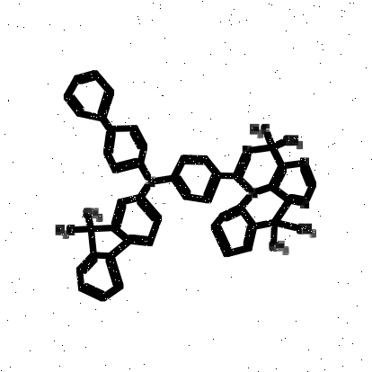 CC1(C)N=C(c2ccc(N(c3ccc(-c4ccccc4)cc3)c3ccc4c(c3)C(C)(C)c3ccccc3-4)cc2)N2c3ccccc3C(C)(C)c3ncnc1c32